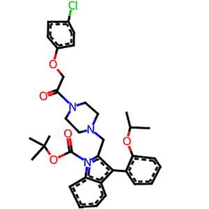 CC(C)Oc1ccccc1-c1c(CN2CCN(C(=O)COc3ccc(Cl)cc3)CC2)n(C(=O)OC(C)(C)C)c2ccccc12